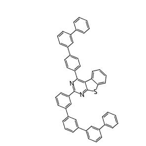 c1ccc(-c2cccc(-c3ccc(-c4nc(-c5cccc(-c6cccc(-c7cccc(-c8ccccc8)c7)c6)c5)nc5sc6ccccc6c45)cc3)c2)cc1